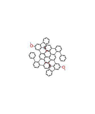 COc1cc2c3c(c1)-c1cc(-c4c(-c5ccccc5)cccc4-c4ccccc4)c4cc5c6c(cc(-c7c(-c8ccccc8)cccc7-c7ccccc7)c7cc(c1c4c76)B3c1ccccc1-2)-c1cc(OC)cc2c1B5c1ccccc1-2